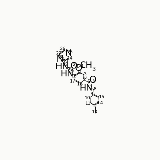 COc1cc(C(=O)NCc2ccc(I)cc2)ccc1NC(=O)Nc1cnccn1